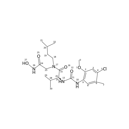 COc1cc(Cl)c(C)cc1NC(=O)N[C@H](C(=O)N(CCC(C)C)CC(=O)NO)C(C)C